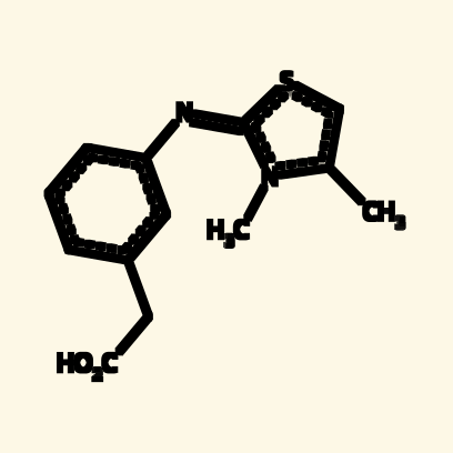 Cc1csc(=Nc2cccc(CC(=O)O)c2)n1C